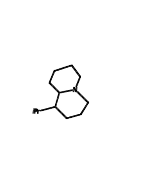 CC(C)C1CCCN2CCCCC12